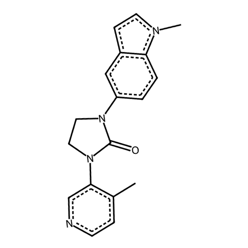 Cc1ccncc1N1CCN(c2ccc3c(ccn3C)c2)C1=O